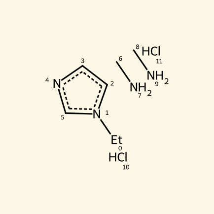 CCn1ccnc1.CN.CN.Cl.Cl